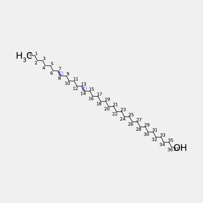 CCCCCCC/C=C/CCCC/C=C/CCCCCCCCCCCCCCCCCCCCCCO